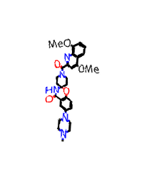 COc1cc(C(=O)N2CCC3(CC2)NC(=O)c2cc(N4CCN(C)CC4)ccc2O3)nc2c(OC)cccc12